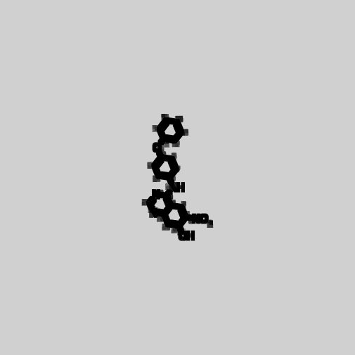 O=[N+]([O-])c1cc2c(Nc3ccc(Oc4ccccc4)cc3)ncnc2cc1O